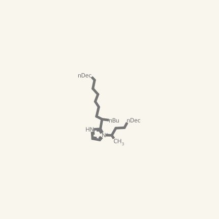 CCCCCCCCCCCCCCCCC(CCCC)c1[nH]cc[n+]1C(C)CCCCCCCCCCCC